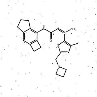 N/S(=N/C(=O)Nc1c2c(cc3c1CC3)CCC2)c1sc(CN2CCC2)cc1F